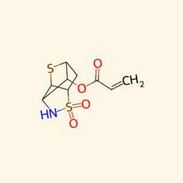 C=CC(=O)OC1C2CC3C(S2)C1NS3(=O)=O